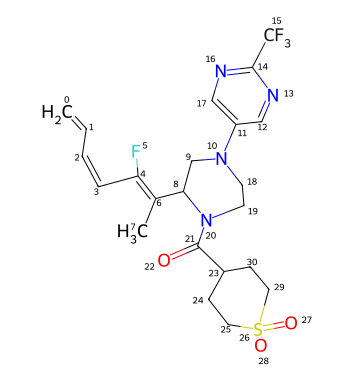 C=C/C=C\C(F)=C(/C)C1CN(c2cnc(C(F)(F)F)nc2)CCN1C(=O)C1CCS(=O)(=O)CC1